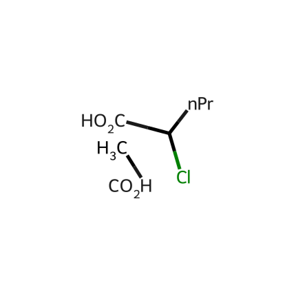 CC(=O)O.CCCC(Cl)C(=O)O